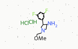 COCCN1CC(N)C(c2cc(F)cc(F)c2)C1.Cl.Cl